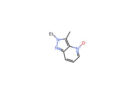 CCn1nc2ccc[n+]([O-])c2c1C